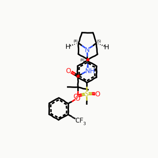 CC(C)(Oc1ccccc1C(F)(F)F)C(=O)N[C@H]1C[C@H]2CC[C@@H](C1)N2c1ccc(S(C)(=O)=O)cc1